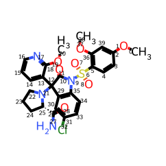 COc1ccc(S(=O)(=O)N2C(=O)C(c3cccnc3OC)(N3CCC[C@H]3C(N)=O)c3cc(Cl)ccc32)c(OC)c1